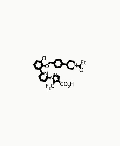 CCC(=O)N1CCC(c2ccc(COc3c(Cl)cccc3-c3cccc(-n4ncc(C(=O)O)c4C(F)(F)F)n3)cc2)CC1